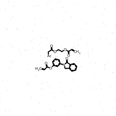 C=CC(=O)OCCOC(=O)CC(C)=O.C=CC(=O)Oc1cccc(N2Cc3ccccc3C2=O)c1